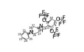 FC(F)(F)Oc1cc(OC(F)(F)F)c(CNC2CCN(c3[c]cccc3)CC2)c(OC(F)(F)F)c1